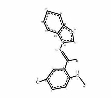 CNc1ccc(Cl)cc1/C(C)=N/n1cnc2ccccc21